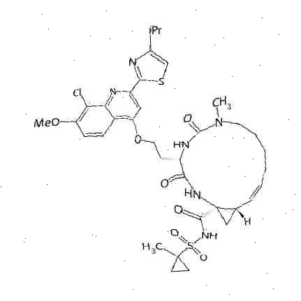 COc1ccc2c(OCC[C@@H]3NC(=O)N(C)CCCCC=C[C@@H]4C[C@@]4(C(=O)NS(=O)(=O)C4(C)CC4)NC3=O)cc(-c3nc(C(C)C)cs3)nc2c1Cl